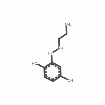 NCCNPc1cc(O)ccc1O